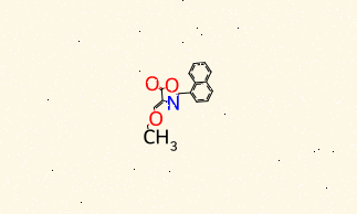 CCO/C=C1\N=C(c2cccc3ccccc23)OC1=O